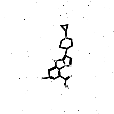 NC(=O)c1cc(F)cc2[nH]c3c(C4CCN(C5CC5)CC4)cnn3c12